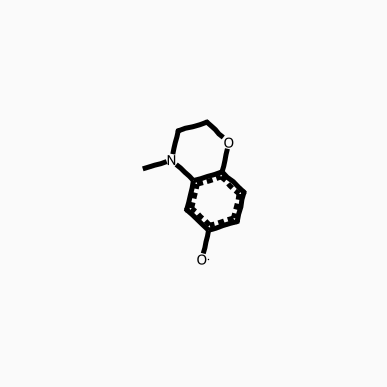 CN1CCOc2ccc([O])cc21